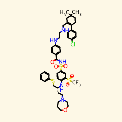 CC1(C)CCC(c2ccc(Cl)cc2)=C(CNCCNc2ccc(C(=O)NS(=O)(=O)c3ccc(N[C@H](CCN4CCCOCC4)CSc4ccccc4)c(S(=O)(=O)C(F)(F)F)c3)cc2)C1